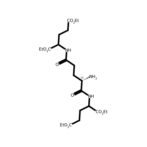 CCOC(=O)CCC(NC(=O)CC[C@H](N)C(=O)NC(CCC(=O)OCC)C(=O)OCC)C(=O)OCC